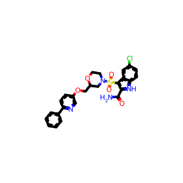 NC(=O)c1[nH]c2ccc(Cl)cc2c1S(=O)(=O)N1CCOC(COc2ccc(-c3ccccc3)nc2)C1